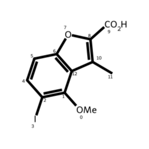 COc1c(I)ccc2oc(C(=O)O)c(C)c12